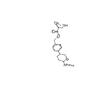 C=C(CO)C(=O)OCc1ccc(C2CCC(CCCCC)OC2)cc1